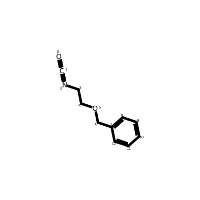 O=C=NCCOCc1ccccc1